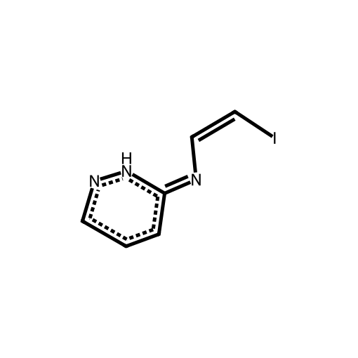 I/C=C\N=c1\cccn[nH]1